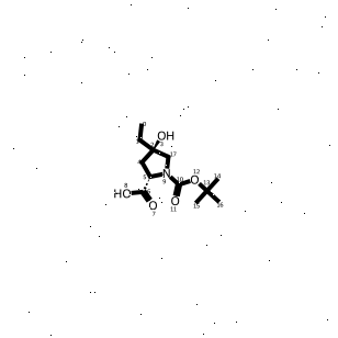 CC[C@@]1(O)C[C@@H](C(=O)O)N(C(=O)OC(C)(C)C)C1